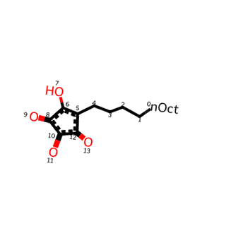 CCCCCCCCCCCCc1c(O)c(=O)c(=O)c1=O